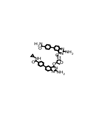 CCOc1nc(N)nc2ccc(-c3ccc(C(N)=O)cc3)cc12.Nc1nc(O[C@H]2CCOC2)c2cc(-c3ccc(C(=O)NC4CC4)cc3)ccc2n1